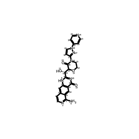 Nc1nccc2cc3[nH]c([C@H](O)C4OCCN(c5ccn(-c6ccncc6)n5)C4=O)nc(=O)c3cc12